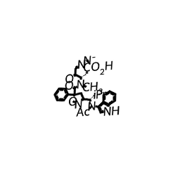 CC(=O)N(c1c[nH]c2ccccc12)[C@H](C1=NOC(C(=O)N(C)[C@@H](CC(=O)O)C(=O)C=[N+]=[N-])(c2ccccc2)C1)C(C)C